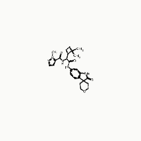 Cn1nccc1C(=O)NC(C(=O)Nc1ccc2c(c1)NC(=O)C21CCOCC1)C1CCC1(C)C